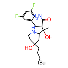 CC(C)(C)CCCC1(O)CCNC(C(C)(O)C(Cc2cc(F)cc(F)c2)C(N)=O)C1